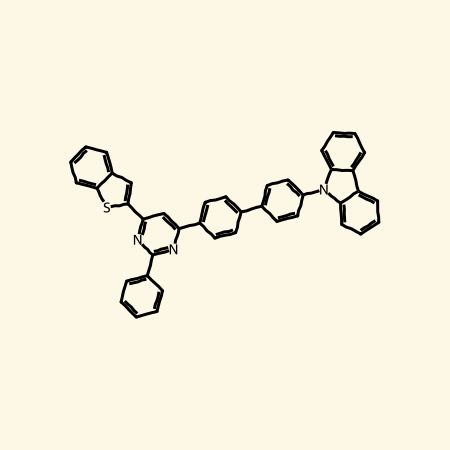 c1ccc(-c2nc(-c3ccc(-c4ccc(-n5c6ccccc6c6ccccc65)cc4)cc3)cc(-c3cc4ccccc4s3)n2)cc1